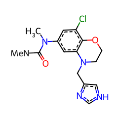 CNC(=O)N(C)c1cc(Cl)c2c(c1)N(Cc1c[nH]cn1)CCO2